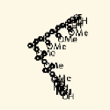 COc1ccc(P(c2ccccc2)c2ccccc2)cc1.COc1ccc(P(c2ccccc2)c2ccccc2)cc1.COc1ccc(P(c2ccccc2)c2ccccc2)cc1.COc1ccc(P(c2ccccc2)c2ccccc2)cc1.COc1ccc(P(c2ccccc2)c2ccccc2)cc1.COc1ccc(P(c2ccccc2)c2ccccc2)cc1.O=[PH](O)F.O=[PH](O)F.O=[PH](O)F.O=[PH](O)F.O=[PH](O)F.O=[PH](O)F